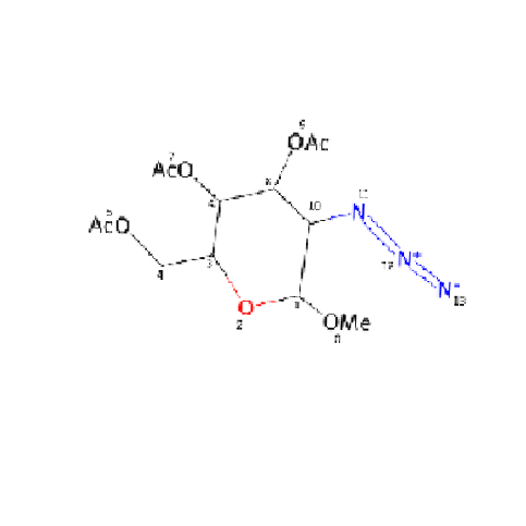 COC1OC(COC(C)=O)C(OC(C)=O)C(OC(C)=O)C1N=[N+]=[N-]